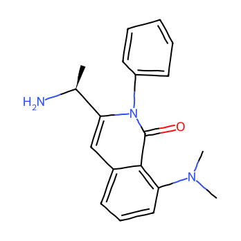 C[C@H](N)c1cc2cccc(N(C)C)c2c(=O)n1-c1ccccc1